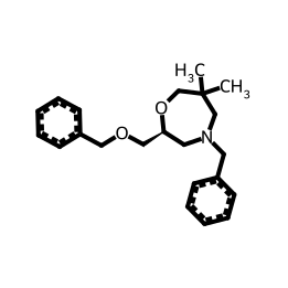 CC1(C)CO[C@H](COCc2ccccc2)CN(Cc2ccccc2)C1